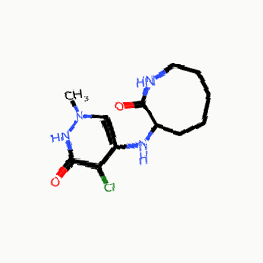 CN1C=C(NC2CCCCCNC2=O)C(Cl)C(=O)N1